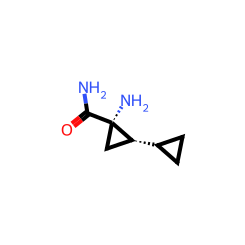 NC(=O)[C@]1(N)C[C@H]1C1CC1